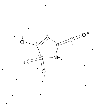 O=C=C1C=C(Cl)S(=O)(=O)N1